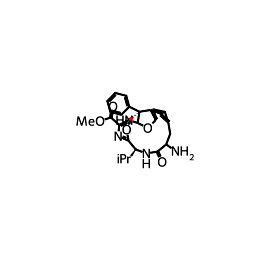 COC(=O)c1nc2oc1[C@@]13c4ccccc4NC1Oc1ccc(cc13)CC(N)C(=O)N[C@H]2C(C)C